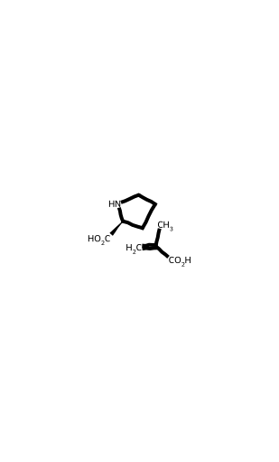 C=C(C)C(=O)O.O=C(O)[C@@H]1CCCN1